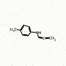 C=C=CNc1ccc(C)cc1